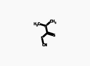 CN(C)C(=S)SC#N